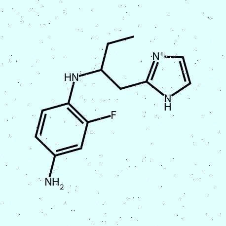 CCC(CC1=[N+]C=CN1)Nc1ccc(N)cc1F